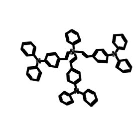 C(=C\[Si](/C=C/c1ccc(N(c2ccccc2)c2ccccc2)cc1)(/C=C/c1ccc(N(c2ccccc2)c2ccccc2)cc1)c1ccccc1)/c1ccc(N(c2ccccc2)c2ccccc2)cc1